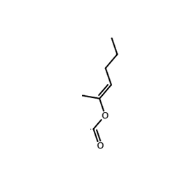 CCC/C=C(\C)O[C]=O